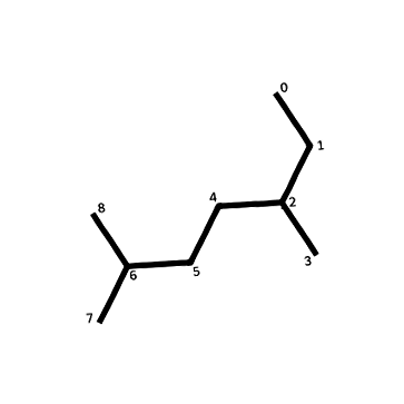 CC[C](C)CCC(C)C